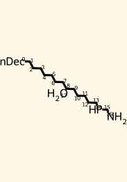 CCCCCCCCCCCCCCCCCCCCCCCPCN.O